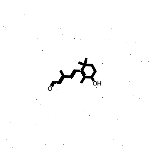 CC1=C(/C=C/C(C)=C/C=O)C(C)(C)CCC1O